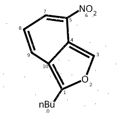 CCCCc1occ2c([N+](=O)[O-])cccc12